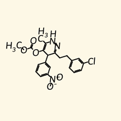 COC(=O)OC1=C(C)NN=C(CCc2cccc(Cl)c2)C1c1cccc([N+](=O)[O-])c1